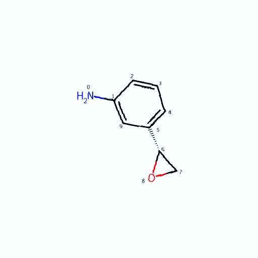 Nc1cccc([C@@H]2CO2)c1